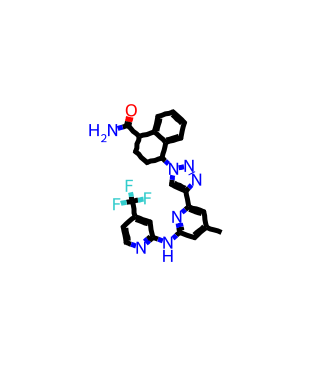 Cc1cc(Nc2cc(C(F)(F)F)ccn2)nc(-c2cn(C3CCC(C(N)=O)c4ccccc43)nn2)c1